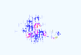 Cc1nccc(-c2ccc(C(=O)NCCCCCC(=O)N[C@H](CCCNC(=N)N)C(=O)NCCCCCC(=O)N[C@H](CCCNC(=N)N)C(=O)N[C@H](CCCNC(=N)N)C(=O)N[C@H](CCCNC(=N)N)C(=O)N[C@H](CCCNC(=N)N)C(=O)N[C@H](CCCNC(=N)N)C(=O)N[C@H](CCCNC(=N)N)C(=O)N[C@H](CCCCN)C(N)=O)s2)n1